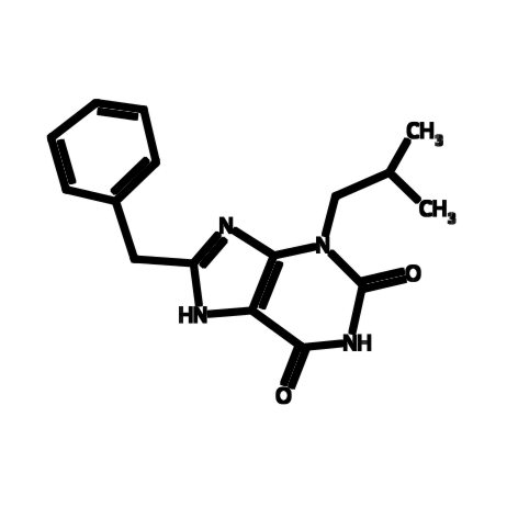 CC(C)Cn1c(=O)[nH]c(=O)c2[nH]c(Cc3ccccc3)nc21